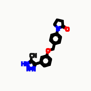 N#Cc1[nH]nnc1-c1cccc(OCc2ccc(N3CCCC3=O)cc2)c1